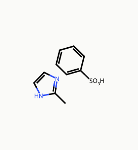 Cc1ncc[nH]1.O=S(=O)(O)c1ccccc1